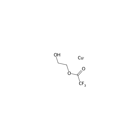 O=C(OCCO)C(F)(F)F.[Cu]